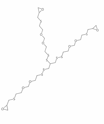 C(CSCC1CO1)OCOCCSSCC(CSSCCOCOCCSCC1CO1)SSCCOCOCCSCC1CO1